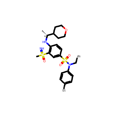 CCc1ccc(N(CC(C)C)S(=O)(=O)c2ccc(N[C@H](C)C3CCOCC3)c(S(C)(=N)=O)c2)cc1